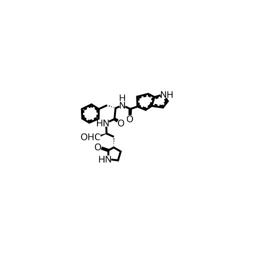 O=C[C@H](C[C@@H]1CCNC1=O)NC(=O)[C@H](Cc1ccccc1)NC(=O)c1ccc2[nH]ccc2c1